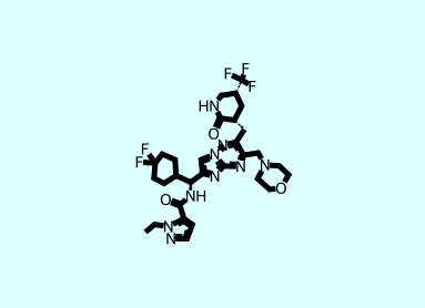 CCn1nccc1C(=O)N[C@H](c1cn2nc(C[C@H]3C[C@@H](C(F)(F)F)CNC3=O)c(CN3CCOCC3)nc2n1)C1CCC(F)(F)CC1